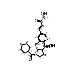 Cl.O=C(/C=C/c1cnc(NC2CCN(C(=O)C3CCCCC3)C2)c(F)c1)NO